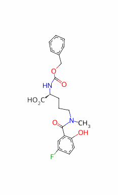 CN(CCC[C@H](NC(=O)OCc1ccccc1)C(=O)O)C(=O)c1cc(F)ccc1O